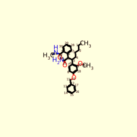 CCCCCC(c1ccc(OCc2ccccc2)cc1OC)C(C(N)=O)c1ccccc1C(=O)NC